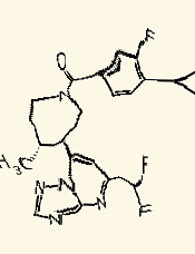 C[C@@H]1CCN(C(=O)c2ccc(C3CC3)c(F)c2)C[C@H]1c1cc(C(F)F)nc2ncnn12